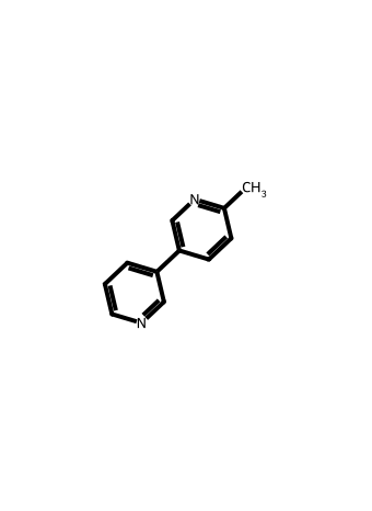 Cc1ccc(-c2cccnc2)cn1